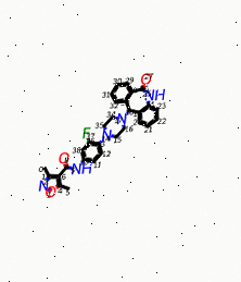 Cc1noc(C)c1C(=O)Nc1ccc(N2CCN(C3c4ccccc4NC(=O)c4ccccc43)CC2)c(F)c1